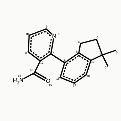 CC1(C)CCc2c(-c3ncccc3C(N)=O)cccc21